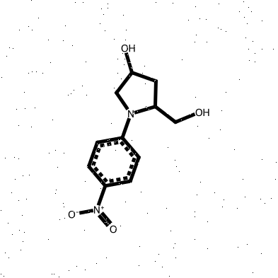 O=[N+]([O-])c1ccc(N2CC(O)CC2CO)cc1